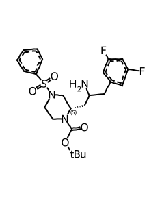 CC(C)(C)OC(=O)N1CCN(S(=O)(=O)c2ccccc2)C[C@@H]1CC(N)Cc1cc(F)cc(F)c1